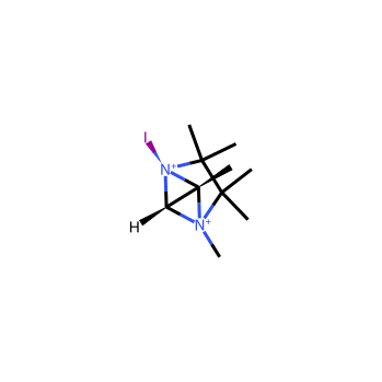 CC1(C)C(C)(C)[N@@+]2(I)[C@@H]3[C@@]2(C)[N+]31C